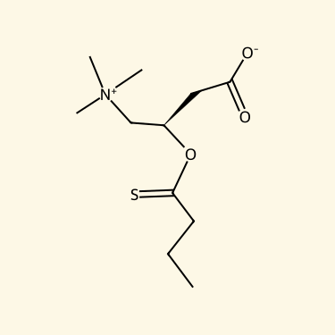 CCCC(=S)O[C@H](CC(=O)[O-])C[N+](C)(C)C